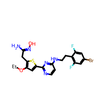 CCOc1cc(-c2nccc(NCCc3c(F)cc(Br)cc3F)n2)sc1CC(N)=NO